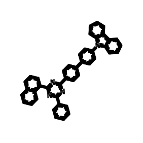 c1ccc(-c2nc(-c3ccc(-c4ccc(-n5c6ccccc6c6ccccc65)cc4)cc3)nc(-c3cccc4ccccc34)n2)cc1